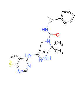 CC1(C)c2[nH]nc(Nc3ncnc4sccc34)c2CN1C(=O)N[C@@H]1C[C@H]1c1ccccc1